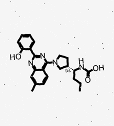 CCCC(NC(=O)O)[C@H]1CCN(c2nc(-c3ccccc3O)nc3cc(C)ccc23)C1